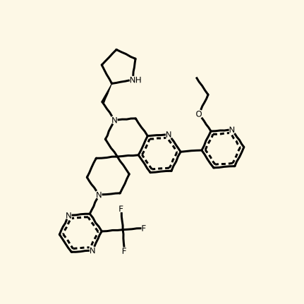 CCOc1ncccc1-c1ccc2c(n1)CN(C[C@H]1CCCN1)CC21CCN(c2nccnc2C(F)(F)F)CC1